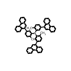 Cc1ccc(-c2cc3ccccc3c3ccccc23)cc1N(c1cc(-c2cc3ccccc3c3ccccc23)ccc1C)c1cc(-c2cc3ccccc3c3ccccc23)ccc1C